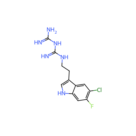 N=C(N)NC(=N)NCCc1c[nH]c2cc(F)c(Cl)cc12